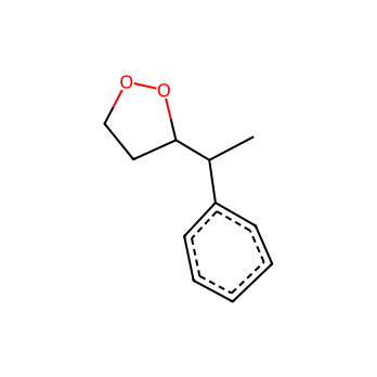 CC(c1ccccc1)C1CCOO1